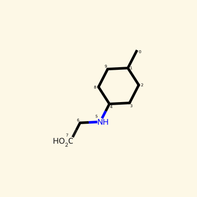 CC1CCC(NCC(=O)O)CC1